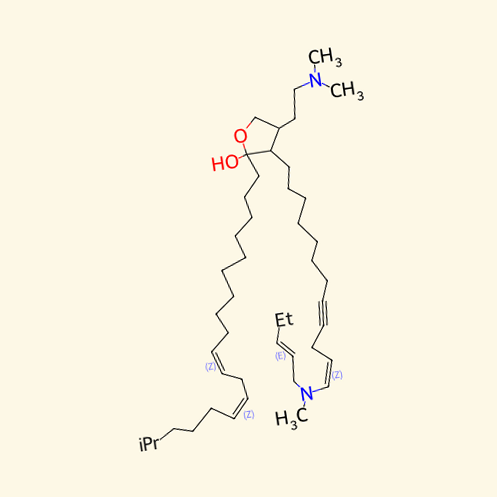 CC/C=C/CN(C)/C=C\CC#CCCCCCCCC1C(CCN(C)C)COC1(O)CCCCCCCCC/C=C\C/C=C\CCCC(C)C